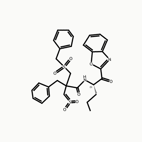 CCC[C@H](NC(=O)C(C=S(=O)=O)(Cc1ccccc1)CS(=O)(=O)Cc1ccccc1)C(=O)c1nc2ccccc2o1